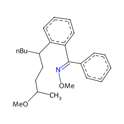 CCCCC(CCC(C)OC)c1ccccc1C(=NOC)c1ccccc1